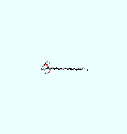 [CH2]C(OC(C)C)C(CCCCCCCC/C=C/CCCCC)OC